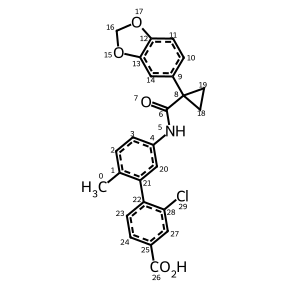 Cc1ccc(NC(=O)C2(c3ccc4c(c3)OCO4)CC2)cc1-c1ccc(C(=O)O)cc1Cl